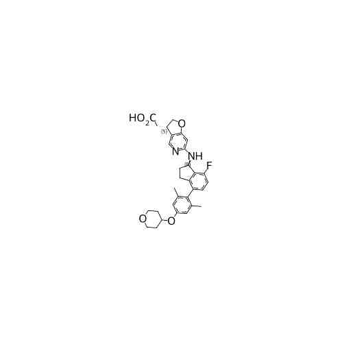 Cc1cc(OC2CCOCC2)cc(C)c1-c1ccc(F)c2c1CC[C@H]2Nc1cc2c(cn1)[C@H](CC(=O)O)CO2